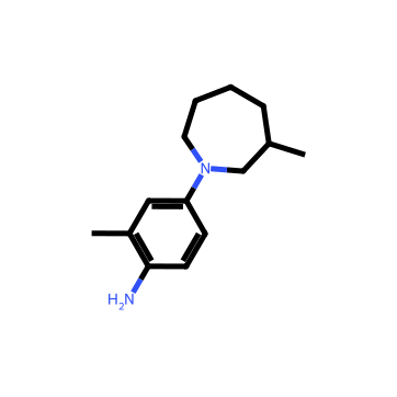 Cc1cc(N2CCCCC(C)C2)ccc1N